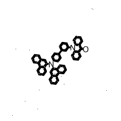 O=c1c2ccccc2n(-c2cccc(-c3ccc(N(c4cc5ccccc5c5ccccc45)c4cc5ccccc5c5ccccc45)cc3)c2)c2ccccc12